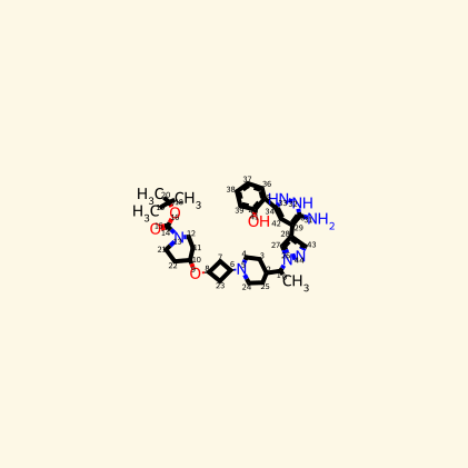 CC(C1CCN([C@H]2C[C@@H](OC3CCN(C(=O)OC(C)(C)C)CC3)C2)CC1)n1cc(C2=C(N)NNC(c3ccccc3O)=C2)cn1